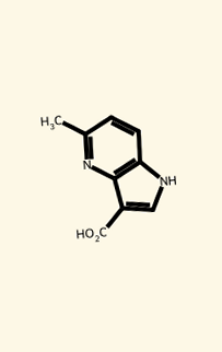 Cc1ccc2[nH]cc(C(=O)O)c2n1